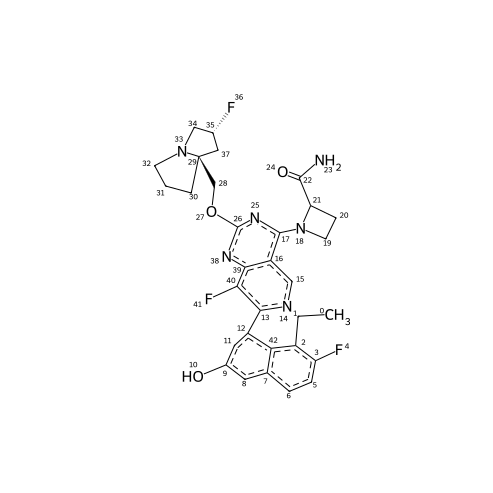 CCc1c(F)ccc2cc(O)cc(-c3ncc4c(N5CCC5C(N)=O)nc(OC[C@@]56CCCN5C[C@H](F)C6)nc4c3F)c12